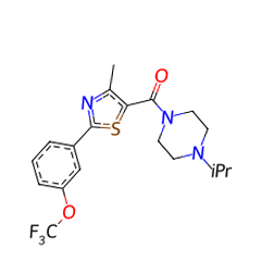 Cc1nc(-c2cccc(OC(F)(F)F)c2)sc1C(=O)N1CCN(C(C)C)CC1